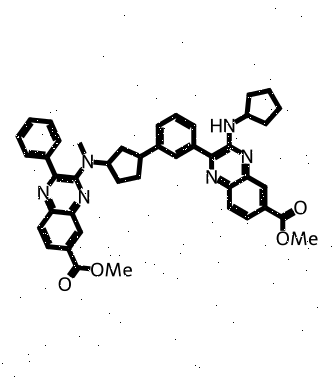 COC(=O)c1ccc2nc(-c3cccc(C4CCC(N(C)c5nc6cc(C(=O)OC)ccc6nc5-c5ccccc5)C4)c3)c(NC3CCCC3)nc2c1